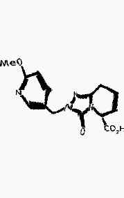 COc1ccc(Cn2nc3n(c2=O)[C@H](C(=O)O)CCC3)cn1